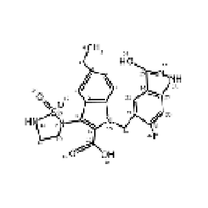 CCc1ccc2c(c1)c(N1CCNS1(=O)=O)c(C(=O)O)n2Cc1cc2c(O)n[nH]c2cc1F